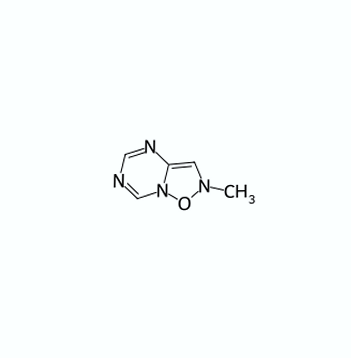 CN1C=C2N=CN=CN2O1